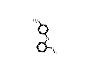 [CH2]c1ccc(Oc2ccccc2OCC)cc1